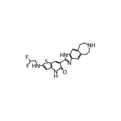 O=c1[nH]c2cc(NCC(F)F)sc2cc1-c1nc2cc3c(cc2[nH]1)CCNCC3